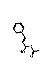 CC(=O)OC(O)C=Cc1ccccc1